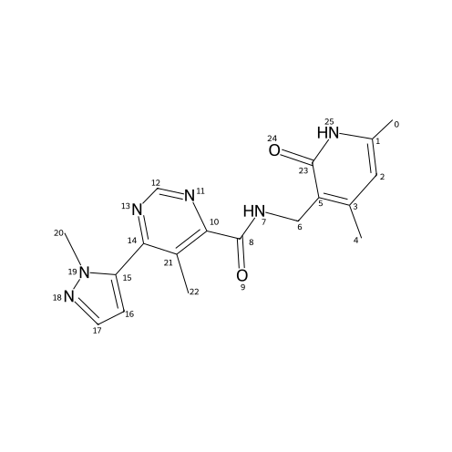 Cc1cc(C)c(CNC(=O)c2ncnc(-c3ccnn3C)c2C)c(=O)[nH]1